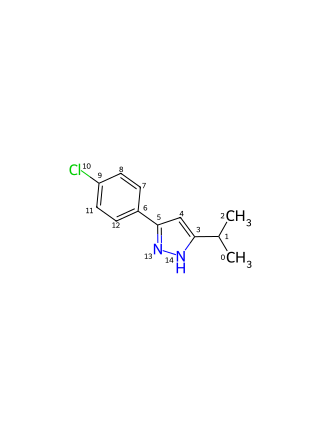 CC(C)c1cc(-c2ccc(Cl)cc2)n[nH]1